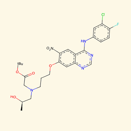 C[C@@H](O)CN(CCCOc1cc2ncnc(Nc3ccc(F)c(Cl)c3)c2cc1[N+](=O)[O-])CC(=O)OC(C)(C)C